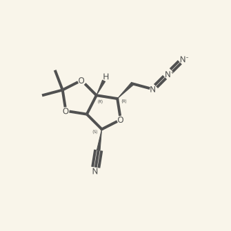 CC1(C)OC2[C@H](C#N)O[C@H](CN=[N+]=[N-])[C@H]2O1